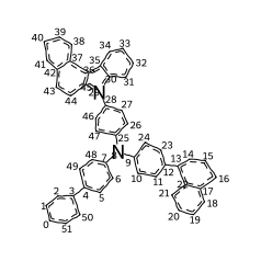 c1ccc(-c2ccc(N(c3ccc(-c4cccc5ccccc45)cc3)c3ccc(-n4c5ccccc5c5c6ccccc6ccc54)cc3)cc2)cc1